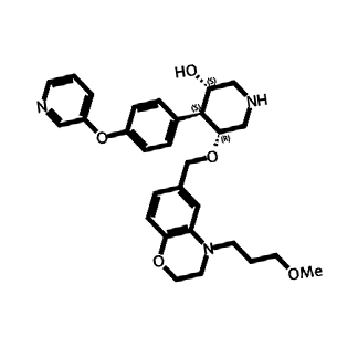 COCCCN1CCOc2ccc(CO[C@H]3CNC[C@@H](O)[C@@H]3c3ccc(Oc4cccnc4)cc3)cc21